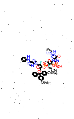 COc1ccc(C(OC[C@H]2O[C@@H](n3cnc4c(Nc5ccccc5)ncnc43)[C@@H](F)[C@@H]2OP(OCCC#N)OC[C@H]2O[C@@H](n3cnc4c(=O)[nH]c(NCC(C)C)nc43)[C@H](O[PH](=O)O)[C@@H]2F)(c2ccccc2)c2ccc(OC)cc2)cc1